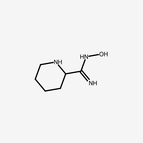 N=C(NO)C1CCCCN1